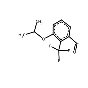 CC(C)Oc1cccc([C]=O)c1C(F)(F)F